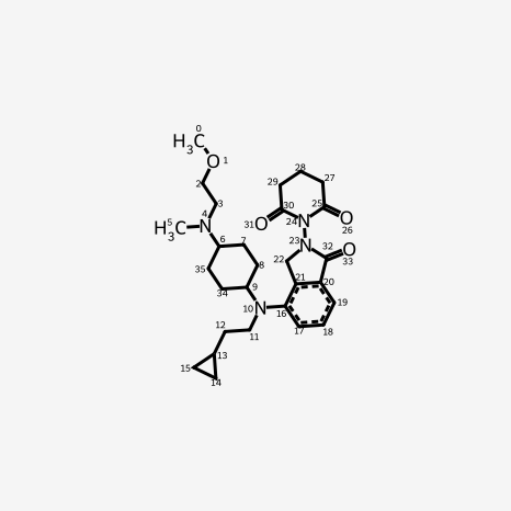 COCCN(C)C1CCC(N(CCC2CC2)c2cccc3c2CN(N2C(=O)CCCC2=O)C3=O)CC1